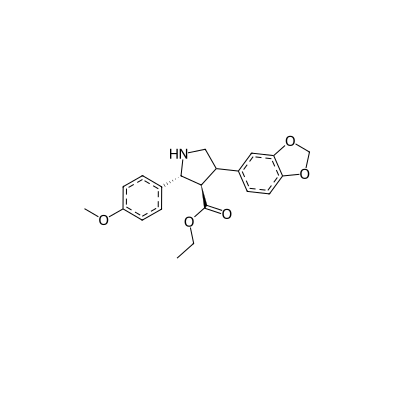 CCOC(=O)[C@@H]1C(c2ccc3c(c2)OCO3)CN[C@H]1c1ccc(OC)cc1